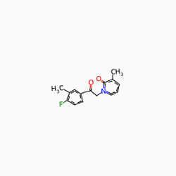 Cc1cc(C(=O)Cn2cccc(C)c2=O)ccc1F